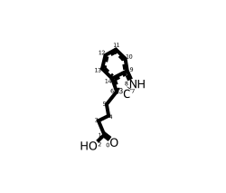 O=C(O)CCCc1[13cH][nH]c2ccccc12